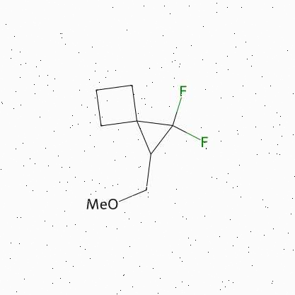 COCC1C(F)(F)C12CCC2